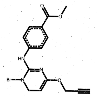 C#CCOC1=CCN(Br)C(Nc2ccc(C(=O)OC)cc2)=N1